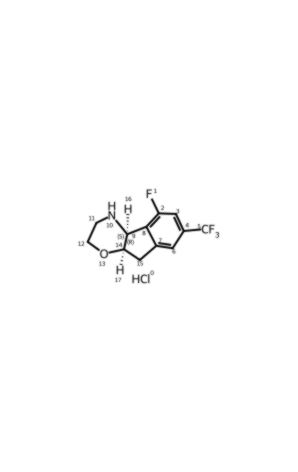 Cl.Fc1cc(C(F)(F)F)cc2c1[C@@H]1NCCO[C@@H]1C2